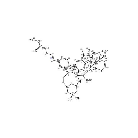 CC[C@]1(O)C[C@H]2CN(CCc3c([nH]c4ccc(/C=C/CNC(=O)OC(C)(C)C)cc34)[C@@](C(=O)OC)(C3C=C4C(=CC3OC)N(C)[C@@]35O[C@]3(C(=O)OC)[C@H](OC(C)=O)[C@]3(CC)C=CCN6CC[C@]45[C@@H]63)C2)C1